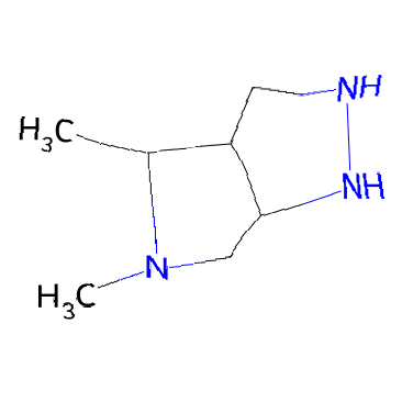 CC1C2CNNC2CN1C